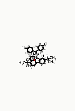 CC(C)(C)c1ccc2c(c1)[CH]([Zr]([Cl])([Cl])(=[C](c1ccc(Cl)cc1)c1ccc(Cl)cc1)[CH]1C=CC=C1)c1cc(C(C)(C)C)ccc1-2